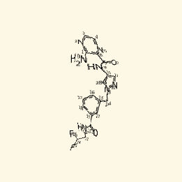 Nc1nccnc1C(=O)Nc1cnn(Cc2cccc(C(=O)NCC(F)F)c2)c1